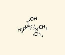 CN(C)C.OCCP